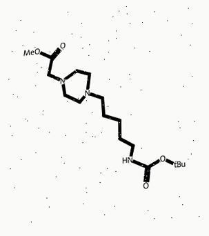 COC(=O)CN1CCN(CCCCCNC(=O)OC(C)(C)C)CC1